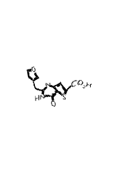 O=C(O)c1cc2nc(Cc3ccoc3)[nH]c(=O)c2s1